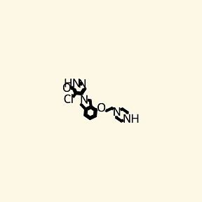 O=c1[nH]ncc(N2Cc3cccc(OCCN4CCNCC4)c3C2)c1Cl